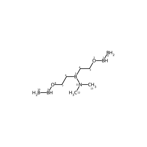 BBOCCB(CCOBB)N(C)C